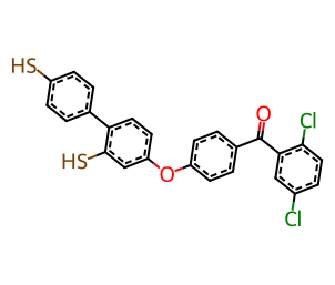 O=C(c1ccc(Oc2ccc(-c3ccc(S)cc3)c(S)c2)cc1)c1cc(Cl)ccc1Cl